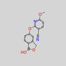 COc1ccc(C#N)c(Oc2ccc3c(c2)COB3O)n1